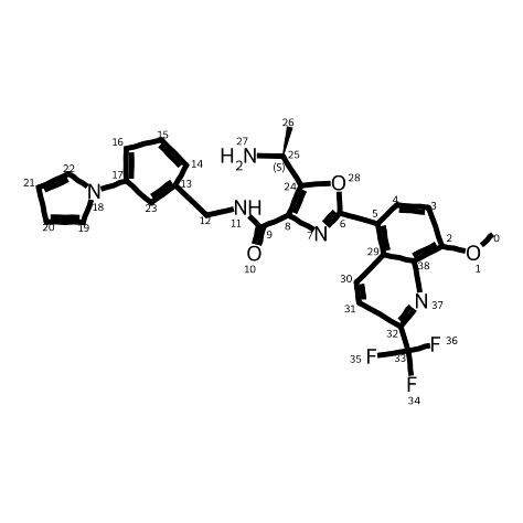 COc1ccc(-c2nc(C(=O)NCc3cccc(-n4cccc4)c3)c([C@H](C)N)o2)c2ccc(C(F)(F)F)nc12